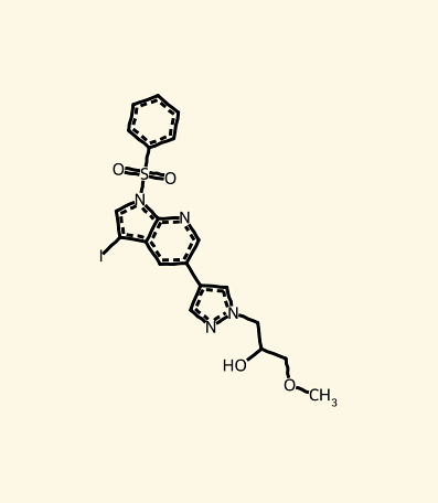 COCC(O)Cn1cc(-c2cnc3c(c2)c(I)cn3S(=O)(=O)c2ccccc2)cn1